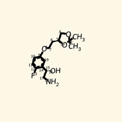 CC1(C)OC[C@H](CCOc2ccc(F)c([C@H](O)CN)c2)O1